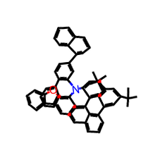 CC(C)(C)c1cc(-c2cccc3cccc(-c4ccccc4N(c4cc(-c5cccc6ccccc56)ccc4-c4ccccc4)c4cccc5c4oc4ccccc45)c23)cc(C(C)(C)C)c1